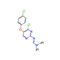 CC(C)N(C=Nc1ncc(Oc2ccc(Cl)cc2)c(Cl)n1)C(C)C